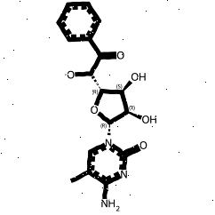 Cc1cn([C@@H]2O[C@H](C([O])C(=O)c3ccccc3)[C@@H](O)[C@H]2O)c(=O)nc1N